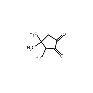 CC1C(=O)C(=O)CC1(C)C